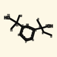 CCC(C)(O)c1cccc(C(C)(C)O)c1